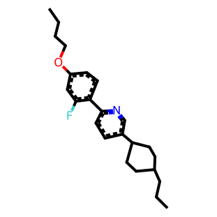 CCCCOc1ccc(-c2ccc(C3CCC(CCC)CC3)cn2)c(F)c1